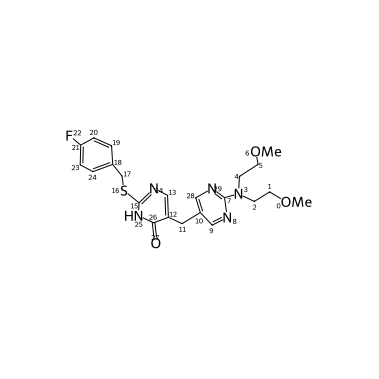 COCCN(CCOC)c1ncc(Cc2cnc(SCc3ccc(F)cc3)[nH]c2=O)cn1